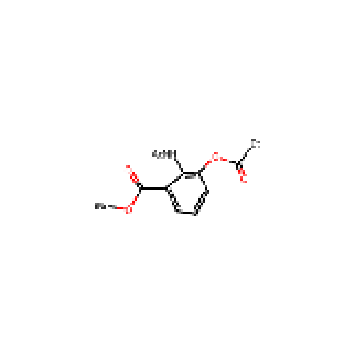 CCC(=O)Oc1cccc(C(=O)OC(C)(C)C)c1NC(C)=O